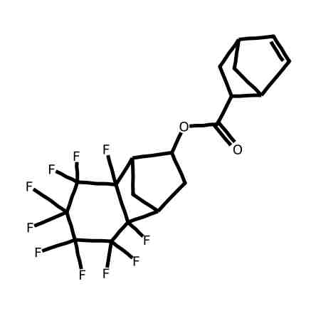 O=C(OC1CC2CC1C1(F)C(F)(F)C(F)(F)C(F)(F)C(F)(F)C21F)C1CC2C=CC1C2